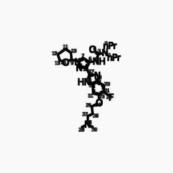 CCCN(CCC)C(=O)Nc1cn(C2CCCCO2)nc1-c1nc2cc(F)c(OCCCN(C)C)cc2[nH]1